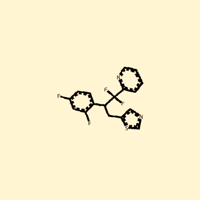 Fc1ccc(C(Cc2cncs2)C(F)(F)c2ccccn2)c(F)c1